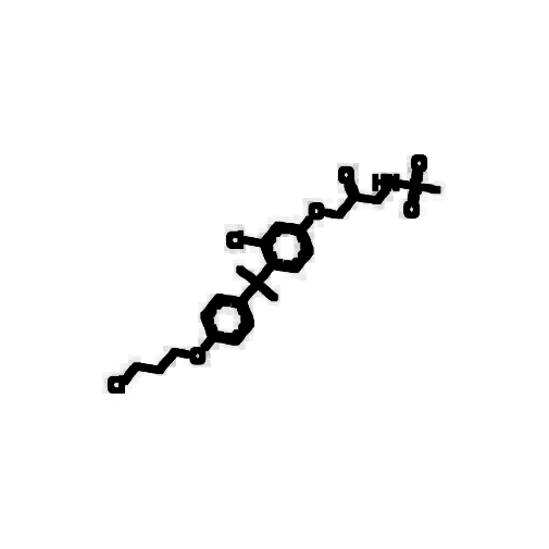 CC(C)(c1ccc(OCCCCl)cc1)c1ccc(OCC(=O)CNS(C)(=O)=O)cc1Cl